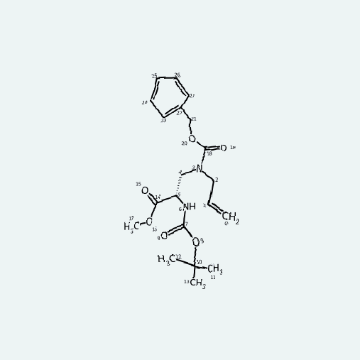 C=CCN(C[C@H](NC(=O)OC(C)(C)C)C(=O)OC)C(=O)OCc1ccccc1